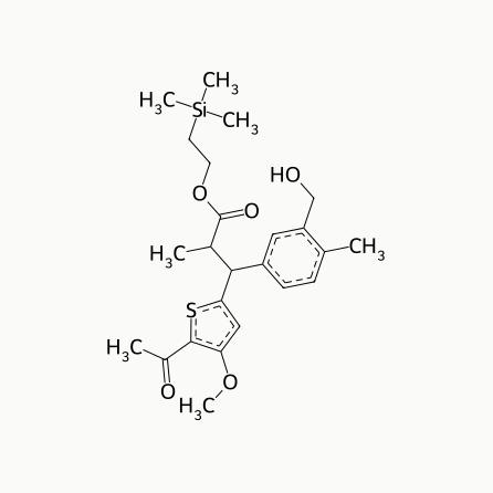 COc1cc(C(c2ccc(C)c(CO)c2)C(C)C(=O)OCC[Si](C)(C)C)sc1C(C)=O